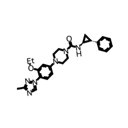 CCOc1cc(N2CCN(C(=O)N[C@H]3C[C@@H]3c3ccccc3)CC2)ccc1-n1cnc(C)n1